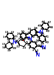 N#Cc1cc(C2C=CC(N3c4ccccc4C4C=CC=CC43)=CC2)c(-n2c3ccccc3c3ccc4c(c5ccccc5n4-c4ccccc4)c32)cc1C#N